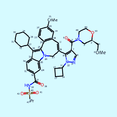 COC[C@H]1CN(C(=O)c2cnn(C3CCC3)c2C2=Cc3cc(OC)ccc3-c3c(C4CCCCC4)c4ccc(C(=O)NS(=O)(=O)C(C)C)cc4n3C2)CCO1